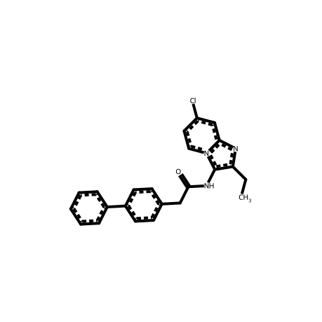 CCc1nc2cc(Cl)ccn2c1NC(=O)Cc1ccc(-c2ccccc2)cc1